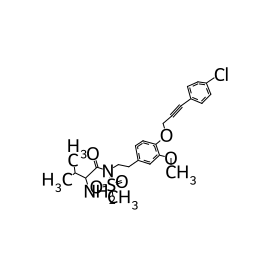 COc1cc(CCN(C(=O)C(N)C(C)C)S(C)(=O)=O)ccc1OCC#Cc1ccc(Cl)cc1